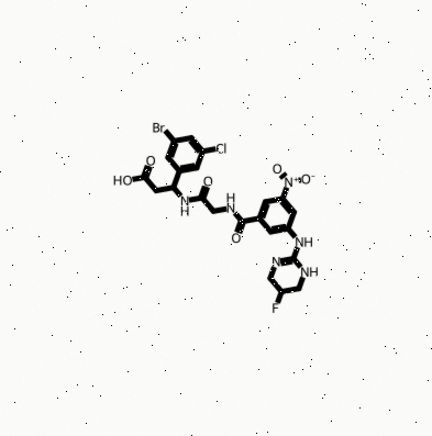 O=C(O)CC(NC(=O)CNC(=O)c1cc(NC2=NCC(F)CN2)cc([N+](=O)[O-])c1)c1cc(Cl)cc(Br)c1